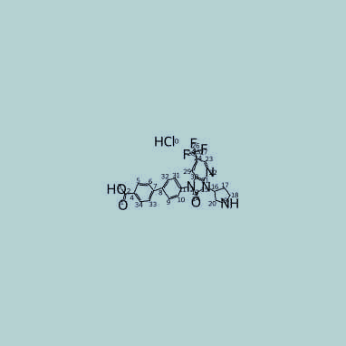 Cl.O=C(O)c1ccc(-c2ccc(-n3c(=O)n(C4CCNC4)c4ncc(C(F)(F)F)cc43)cc2)cc1